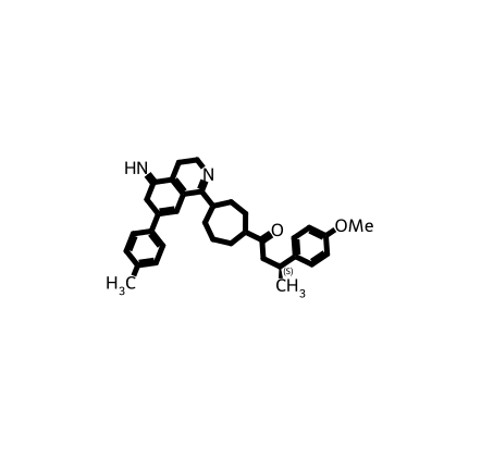 COc1ccc([C@@H](C)CC(=O)C2CCCC(C3=NCCC4=C3C=C(c3ccc(C)cc3)CC4=N)CC2)cc1